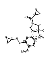 COc1ccc([C@@H]2CN(C(=O)[C]3CC3)C[C@@]2(C)[C@@H](C)O)cc1OCC1CC1